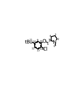 CN1CCC[C@H]1COc1cc(C(C)(C)C)ccc1Cl